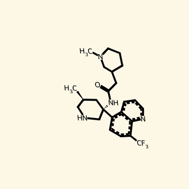 C[C@@H]1CNC[C@](NC(=O)CC2CCCN(C)C2)(c2ccc(C(F)(F)F)c3ncccc23)C1